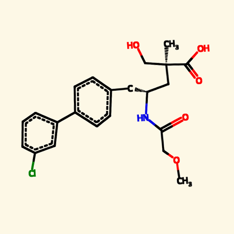 COCC(=O)N[C@H](Cc1ccc(-c2cccc(Cl)c2)cc1)C[C@@](C)(CO)C(=O)O